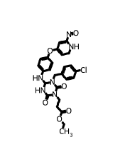 CCOC(=O)CCN1C(=O)NC(Nc2ccc(OC3=CCNC(N=O)=C3)cc2)N(Cc2ccc(Cl)cc2)C1=O